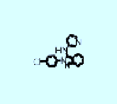 Clc1ccc(-n2nc3ccccc3c2Nc2cccnc2)cc1